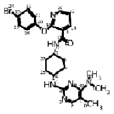 Cc1cnc(N[C@H]2CC[C@@H](NC(=O)c3cccnc3Oc3ccc(Br)cc3)CC2)nc1N(C)C